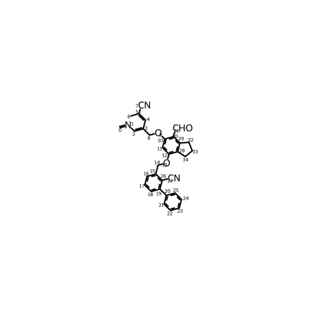 C=N/C=C(\C=C(/C)C#N)COc1cc(OCc2cccc(-c3ccccc3)c2C#N)c2c(c1C=O)CCC2